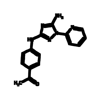 CC(=O)c1ccc(Nc2nc(N)n(-c3ccccn3)n2)cc1